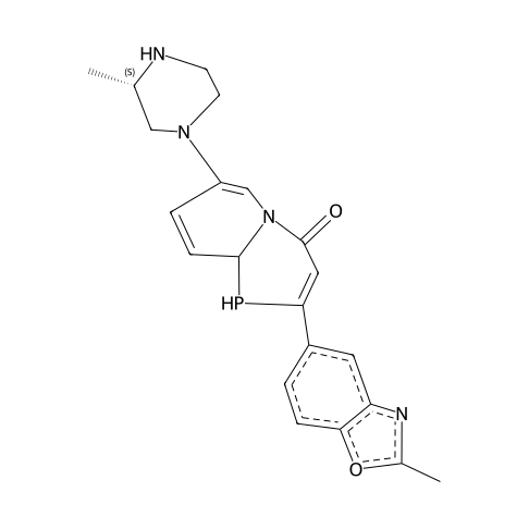 Cc1nc2cc(C3=CC(=O)N4C=C(N5CCN[C@@H](C)C5)C=CC4P3)ccc2o1